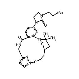 CC(C)(C)CCN1CCN(c2ccc3c(n2)N2CC(CCCn4ccc(n4)SNC3=O)CC2(C)C)C1=O